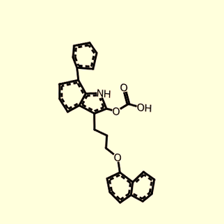 O=C(O)Oc1[nH]c2c(-c3ccccc3)cccc2c1CCCOc1cccc2ccccc12